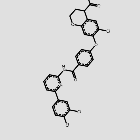 O=C(Nc1cccc(-c2ccc(Cl)c(Cl)c2)n1)c1ccc(Oc2cc3c(cc2Cl)C(C(=O)O)CCO3)cc1